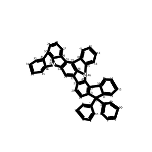 c1ccc(C2(c3ccccc3)c3ccccc3-c3c2ccc2c4cc5c(c6cccc7c8ccccc8n5c76)c5c6ccccc6n(c32)c45)cc1